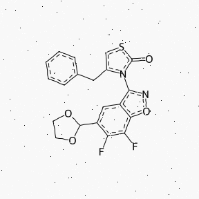 O=c1scc(Cc2ccccc2)n1-c1noc2c(F)c(F)c(C3OCCO3)cc12